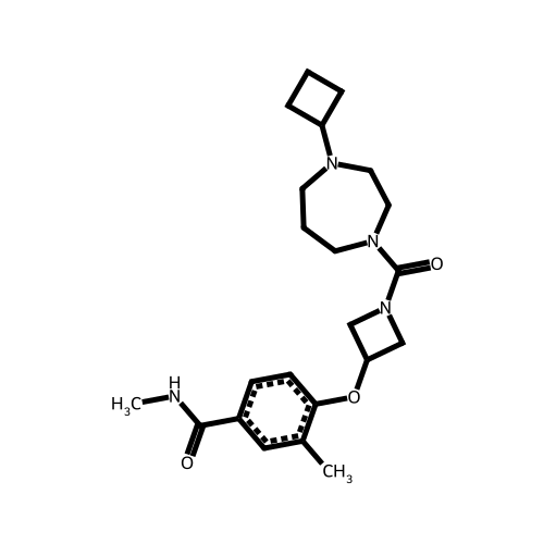 CNC(=O)c1ccc(OC2CN(C(=O)N3CCCN(C4CCC4)CC3)C2)c(C)c1